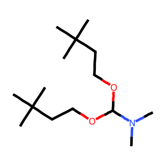 CN(C)C(OCCC(C)(C)C)OCCC(C)(C)C